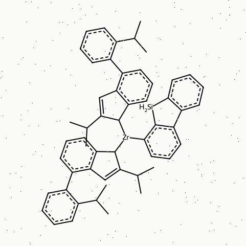 CC(C)C1=Cc2c(-c3ccccc3C(C)C)cccc2[CH]1[Zr]([c]1cccc2c1[SiH2]c1ccccc1-2)[CH]1C(C(C)C)=Cc2c(-c3ccccc3C(C)C)cccc21